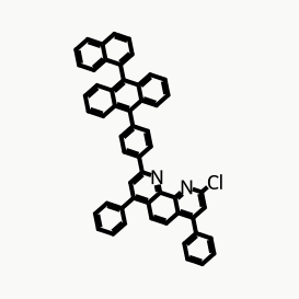 Clc1cc(-c2ccccc2)c2ccc3c(-c4ccccc4)cc(-c4ccc(-c5c6ccccc6c(-c6cccc7ccccc67)c6ccccc56)cc4)nc3c2n1